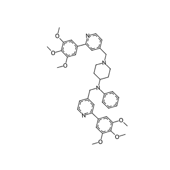 COc1cc(-c2cc(CN3CCC(N(Cc4ccnc(-c5cc(OC)c(OC)c(OC)c5)c4)c4ccccc4)CC3)ccn2)cc(OC)c1OC